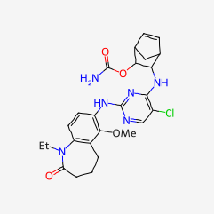 CCN1C(=O)CCCc2c1ccc(Nc1ncc(Cl)c(NC3C4C=CC(C4)C3OC(N)=O)n1)c2OC